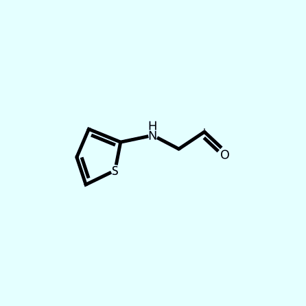 O=[C]CNc1cccs1